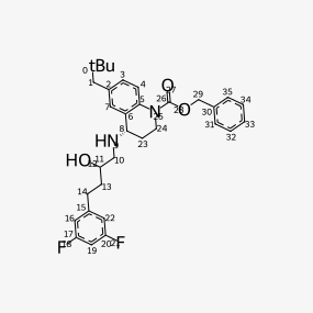 CC(C)(C)Cc1ccc2c(c1)[C@@H](NCC(O)CCc1cc(F)cc(F)c1)CCN2C(=O)OCc1ccccc1